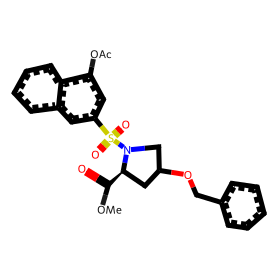 COC(=O)[C@@H]1CC(OCc2ccccc2)CN1S(=O)(=O)c1cc(OC(C)=O)c2ccccc2c1